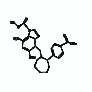 COC(=O)c1ccc(C2CCCCCN2Cc2c(OC)cc(C)c3c2ccn3C(=O)OC(C)(C)C)cc1